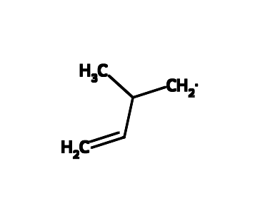 [CH2]C(C)C=C